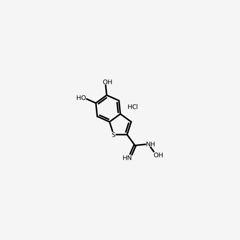 Cl.N=C(NO)c1cc2cc(O)c(O)cc2s1